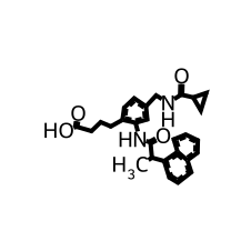 CC(C(=O)Nc1cc(CNC(=O)C2CC2)ccc1CCCC(=O)O)c1cccc2ccccc12